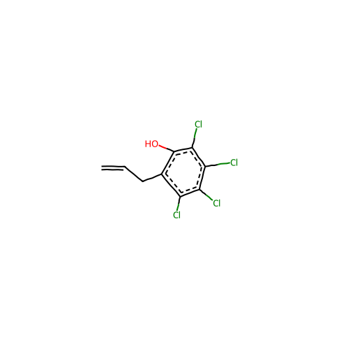 C=CCc1c(O)c(Cl)c(Cl)c(Cl)c1Cl